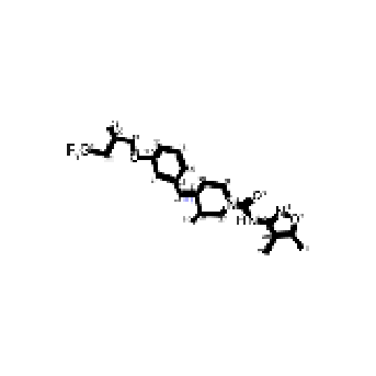 Cc1onc(NC(=O)N2CC/C(=C\c3cccc(OCC(C)CC(F)(F)F)c3)C(C)C2)c1C